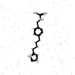 N=C(S)NCc1ccc(CCCCc2cnc[nH]2)cc1